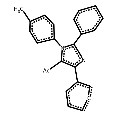 CC(=O)c1c(-c2ccccc2)nc(-c2ccccc2)n1-c1ccc(C)cc1